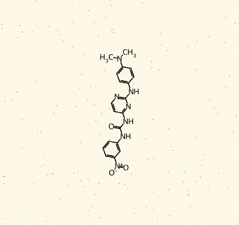 CN(C)c1ccc(Nc2nccc(NC(=O)Nc3cccc([N+](=O)[O-])c3)n2)cc1